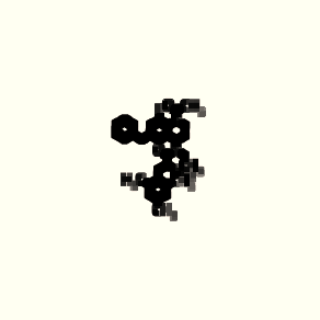 CCN(C(=O)C(N)Cc1c(C)cc(C)cc1C)C1CCN(C(C)=O)c2c(F)cc(Cc3ccccc3)cc21